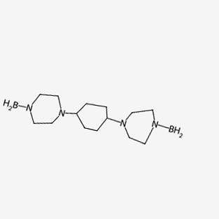 BN1CCN(C2CCC(N3CCN(B)CC3)CC2)CC1